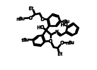 CCCCOC(CC)COc1ccc(C(C)(C)C)cc1C(O)(c1cc(C(C)(C)C)ccc1OCC(CC)OCCCC)C(C)N=Cc1ccccc1O